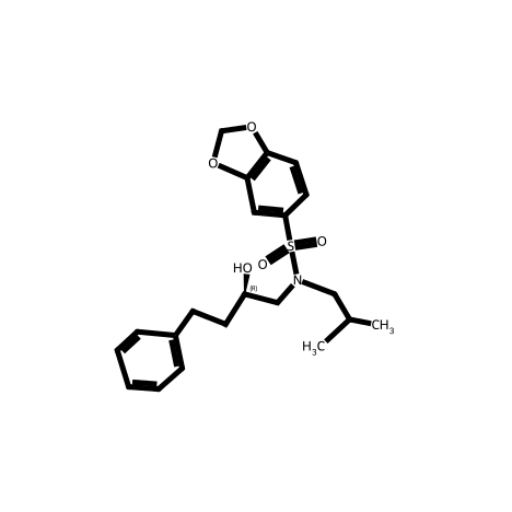 CC(C)CN(C[C@H](O)[CH]Cc1ccccc1)S(=O)(=O)c1ccc2c(c1)OCO2